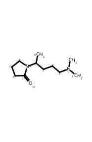 CC(CCCN(C)C)N1CCCC1=O